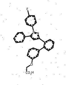 O=C(O)COc1cccc(-c2ccccc2-c2cc(-c3ccccc3)n(-c3ccc(F)cc3)n2)c1